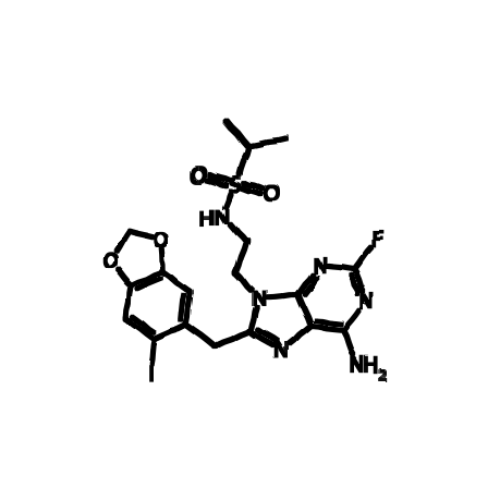 CC(C)S(=O)(=O)NCCn1c(Cc2cc3c(cc2I)OCO3)nc2c(N)nc(F)nc21